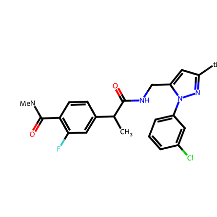 CNC(=O)c1ccc(C(C)C(=O)NCc2cc(C(C)(C)C)nn2-c2cccc(Cl)c2)cc1F